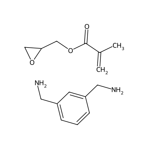 C=C(C)C(=O)OCC1CO1.NCc1cccc(CN)c1